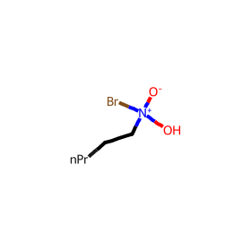 CCCCC[N+]([O-])(O)Br